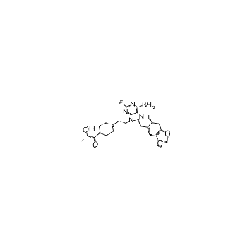 C[C@H](O)C(=O)C1CCC(CCn2c(Cc3cc4c(cc3I)OCO4)nc3c(N)nc(F)nc32)CC1